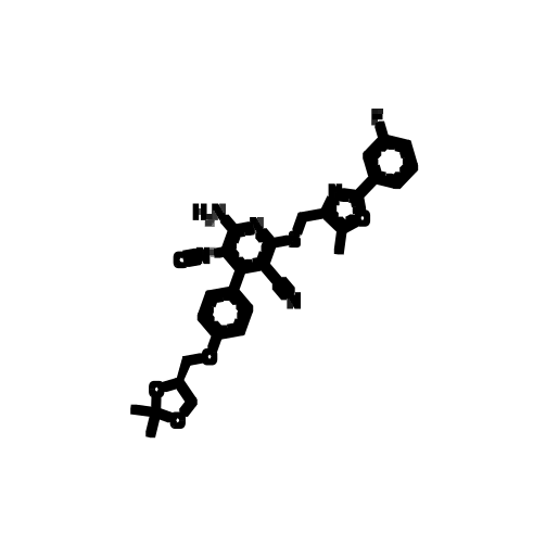 [C-]#[N+]c1c(N)nc(SCc2nc(-c3cccc(F)c3)oc2C)c(C#N)c1-c1ccc(OC[C@H]2COC(C)(C)O2)cc1